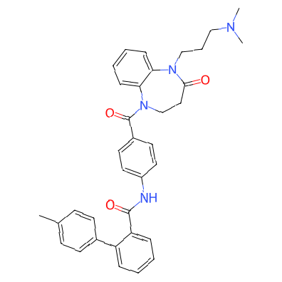 Cc1ccc(-c2ccccc2C(=O)Nc2ccc(C(=O)N3CCC(=O)N(CCCN(C)C)c4ccccc43)cc2)cc1